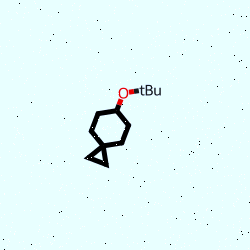 CC(C)(C)OC1CCC2(CC1)CC2